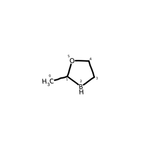 CC1BCCO1